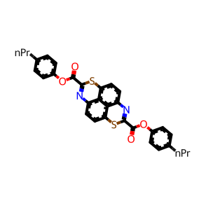 CCCc1ccc(OC(=O)C2=Nc3ccc4c5c(ccc(c35)S2)N=C(C(=O)Oc2ccc(CCC)cc2)S4)cc1